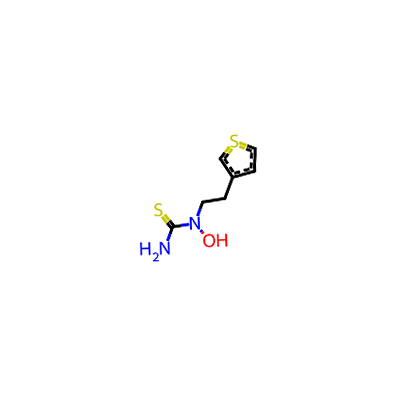 NC(=S)N(O)CCc1ccsc1